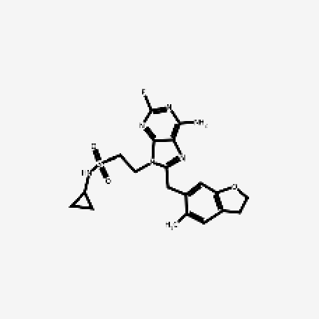 Cc1cc2c(cc1Cc1nc3c(N)nc(F)nc3n1CCS(=O)(=O)NC1CC1)OCC2